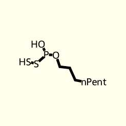 CCCCCCCCOP(O)SS